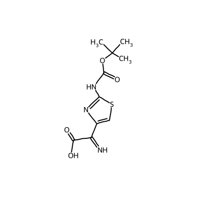 CC(C)(C)OC(=O)Nc1nc(C(=N)C(=O)O)cs1